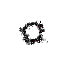 CCCC[C@H]1C(=O)N(C)CC(=O)N[C@@H](CN)C(=O)N[C@@H](C(C)C)C(=O)N(C)[C@@H](Cc2ccccc2)C(=O)N[C@H]2Cc3ccc(O)cc3N(CC(=O)N[C@@H](Cc3c[nH]c4ccccc34)C(=O)N[C@@H](Cc3ccc(O)cc3)C(=O)N[C@@H](CC(C)C)C(=O)N[C@H](C(=O)NCC(N)=O)CSCC(=O)N[C@@H](Cc3ccccc3)C(=O)N(C)[C@@H](Cc3ccccc3)C(=O)N1C)C2=O